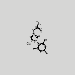 Cc1cc(C)c(-[n+]2ccn(CC(=O)C(C)(C)C)c2)c(C)c1.[Cl-]